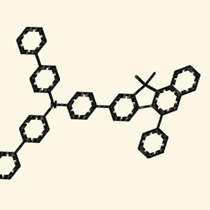 CC1(C)c2cc(-c3ccc(N(c4ccc(-c5ccccc5)cc4)c4ccc(-c5ccccc5)cc4)cc3)ccc2-c2c(-c3ccccc3)cc3ccccc3c21